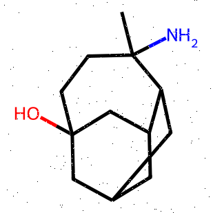 CC1(N)CCC2(O)CC3CC(C2)C1C3